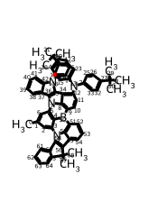 Cc1cc2c3c(c1)-n1c4c(ccc(N(c5ccc(C(C)(C)C)cc5)c5ccc(C(C)(C)C)cc5)c4c4c1c1ccccc1n4-c1ccccc1)B3c1cccc3c4c(n-2c13)-c1ccccc1C4(C)C